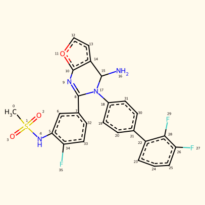 CS(=O)(=O)Nc1cc(C2=Nc3occc3C(N)N2c2ccc(-c3cccc(F)c3F)cc2)ccc1F